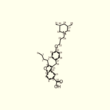 CCCCc1oc2ccc(C(=O)O)cc2c1Cc1ccc(OCCCN2C[C@H](C)C[C@H](C)C2)cc1